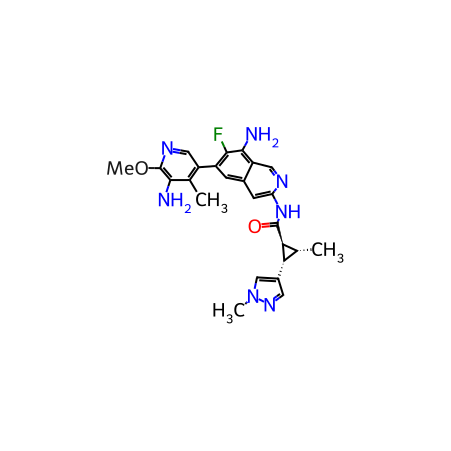 COc1ncc(-c2cc3cc(NC(=O)[C@H]4[C@H](C)[C@@H]4c4cnn(C)c4)ncc3c(N)c2F)c(C)c1N